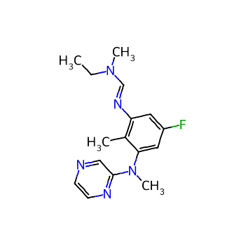 CCN(C)C=Nc1cc(F)cc(N(C)c2cnccn2)c1C